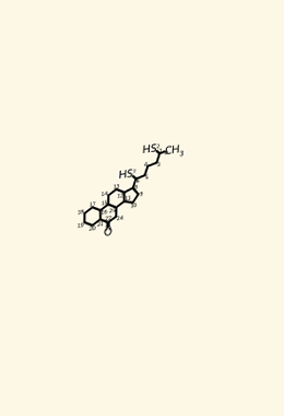 CC(S)CCCC(S)C1CCC2C1CCC1C3CCCCC3C(=O)CC12